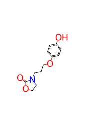 O=C1OCCN1CCCOc1ccc(O)cc1